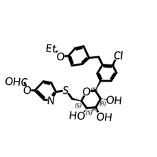 CCOc1ccc(Cc2cc([C@@H]3O[C@H](CSc4ccc(OC=O)cn4)[C@@H](O)[C@H](O)[C@H]3O)ccc2Cl)cc1